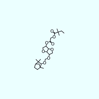 CCC(C)(C)C(=O)OCC(=O)OC1COC2C(OCOC3C4(C)CCC(C4)C3(C)C)COC12